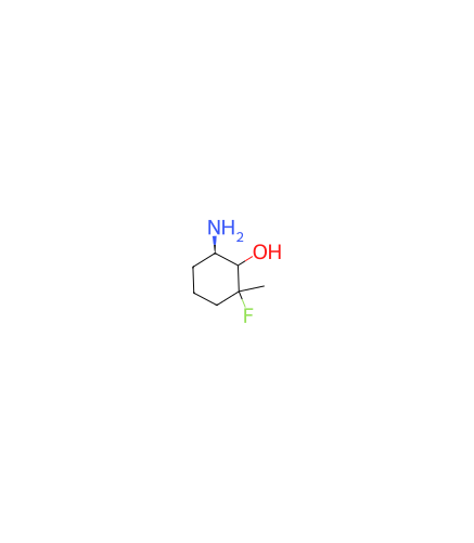 CC1(F)CCC[C@@H](N)C1O